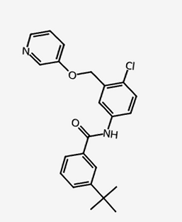 CC(C)(C)c1cccc(C(=O)Nc2ccc(Cl)c(COc3cccnc3)c2)c1